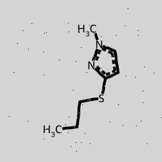 CCCSc1ccn(C)n1